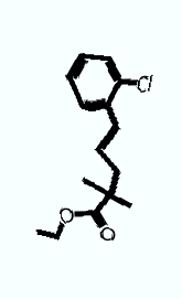 CCOC(=O)C(C)(C)CC=Cc1ccccc1Cl